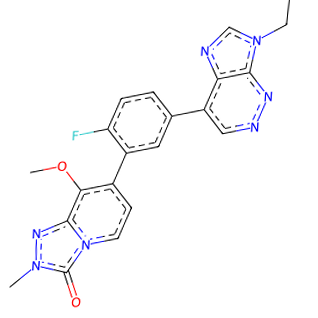 CCn1cnc2c(-c3ccc(F)c(-c4ccn5c(=O)n(C)nc5c4OC)c3)cnnc21